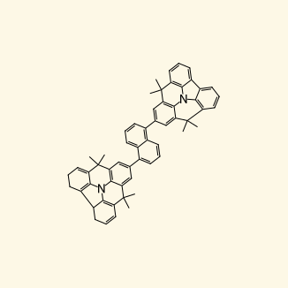 CC1(C)C2=CCCC3=C2N2C4=C(C=CCC34)C(C)(C)c3cc(-c4cccc5c(-c6cc7c8c(c6)C(C)(C)c6cccc9c%10cccc(c%10n-8c69)C7(C)C)cccc45)cc1c32